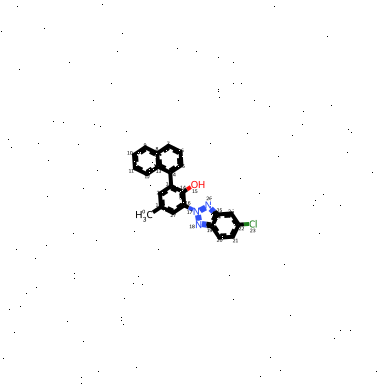 Cc1cc(-c2cccc3ccccc23)c(O)c(-n2nc3ccc(Cl)cc3n2)c1